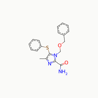 Cc1nc(C(N)=O)n(COCc2ccccc2)c1Sc1ccccc1